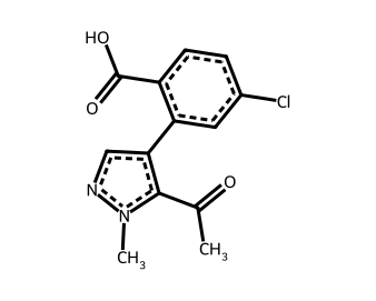 CC(=O)c1c(-c2cc(Cl)ccc2C(=O)O)cnn1C